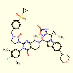 Cc1cc(-n2c(N3CCN(Cc4ccc(S(=O)(=O)C5CC5)cc4)C3=O)nc3c(c2=O)CCN(C(=O)c2cc4cc(C5CCOCC5)ccc4n2C2(c4noc(=O)[nH]4)C[C@@H]2C)[C@H]3C)cc(C)c1F